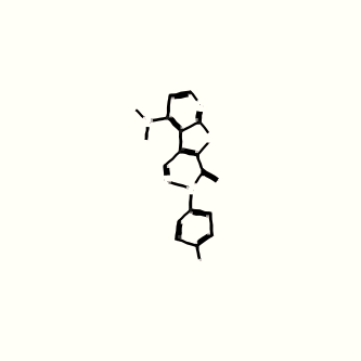 CN(C)c1ccnc2sc3c(=O)n(-c4ccc(Cl)cc4)ncc3c12